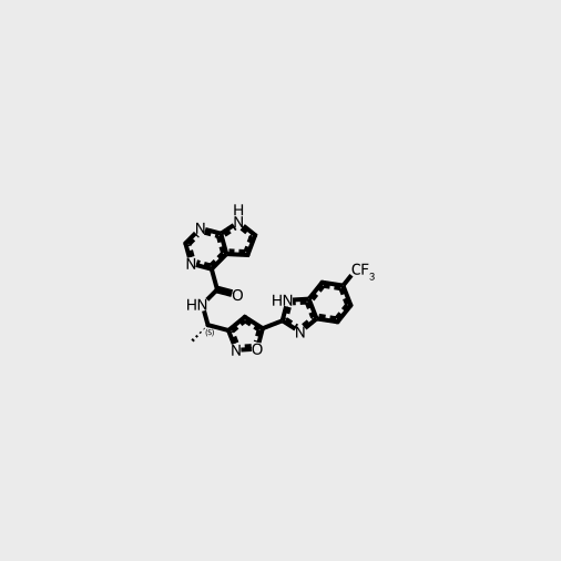 C[C@H](NC(=O)c1ncnc2[nH]ccc12)c1cc(-c2nc3ccc(C(F)(F)F)cc3[nH]2)on1